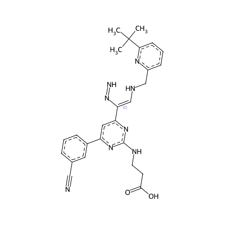 CC(C)(C)c1cccc(CN/C=C(\N=N)c2cc(-c3cccc(C#N)c3)nc(NCCC(=O)O)n2)n1